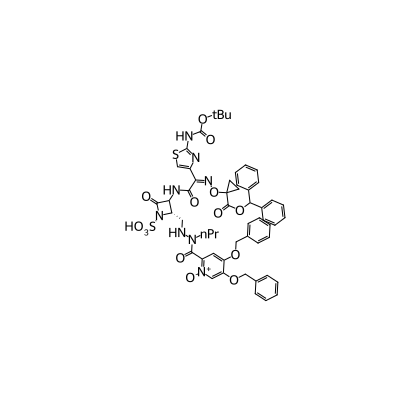 CCCN(NC[C@H]1C(NC(=O)/C(=N\OC2(C(=O)OC(c3ccccc3)c3ccccc3)CC2)c2csc(NC(=O)OC(C)(C)C)n2)C(=O)N1S(=O)(=O)O)C(=O)c1cc(OCc2ccccc2)c(OCc2ccccc2)c[n+]1[O-]